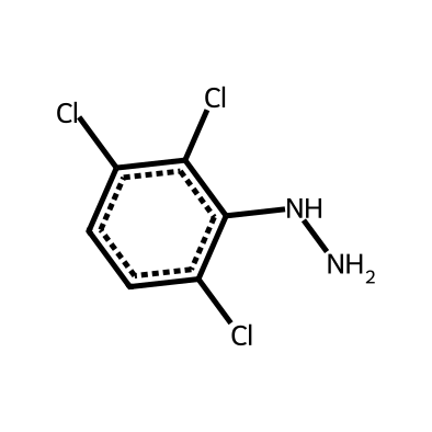 NNc1c(Cl)ccc(Cl)c1Cl